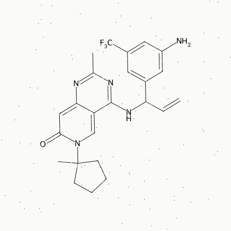 C=CC(Nc1nc(C)nc2cc(=O)n(C3(C)CCCC3)cc12)c1cc(N)cc(C(F)(F)F)c1